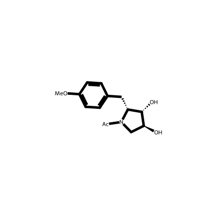 COc1ccc(C[C@@H]2[C@H](O)[C@@H](O)CN2C(C)=O)cc1